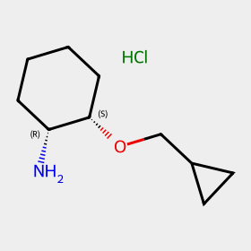 Cl.N[C@@H]1CCCC[C@@H]1OCC1CC1